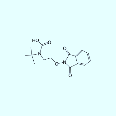 CC(C)(C)N(CCON1C(=O)c2ccccc2C1=O)C(=O)O